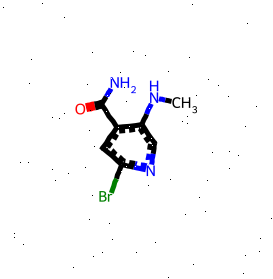 CNc1cnc(Br)cc1C(N)=O